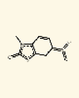 Cn1c2c(sc1=O)CC(=S(=O)=O)C=C2